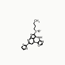 CCCC[S+]([O-])c1sc2nc(-c3nccs3)cc3c2c1Nc1ncoc1-3